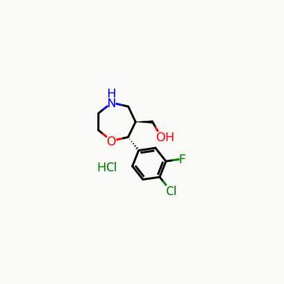 Cl.OC[C@@H]1CNCCO[C@H]1c1ccc(Cl)c(F)c1